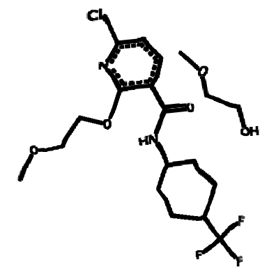 COCCO.COCCOc1nc(Cl)ccc1C(=O)NC1CCC(C(F)(F)F)CC1